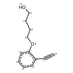 N#Cc1ccccc1OCCCCO